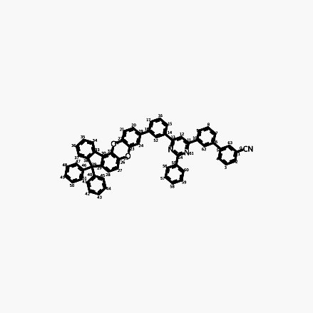 N#Cc1cccc(-c2cccc(-c3cc(-c4cccc(-c5ccc6c(c5)Oc5ccc7c(c5O6)-c5ccccc5C7(c5ccccc5)c5ccccc5)c4)nc(-c4ccccc4)n3)c2)c1